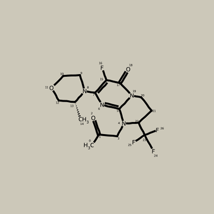 CC(=O)CN1c2nc(N3CCOC[C@H]3C)c(F)c(=O)n2CCC1C(F)(F)F